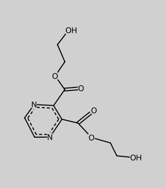 O=C(OCCO)c1nccnc1C(=O)OCCO